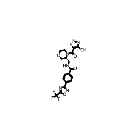 Cc1nnsc1C(=O)N1CCOC[C@H]1CNC(=O)c1ccc(-c2noc(C(F)(F)F)n2)cc1